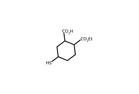 CCOC(=O)C1CCC(S)CC1C(=O)O